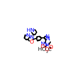 Cc1cccnc1N(C(=O)c1ccc(-c2cnn(C)c2-c2noc(=O)n2C(C)OC(=O)O)cc1)[C@@H]1CCCNC1